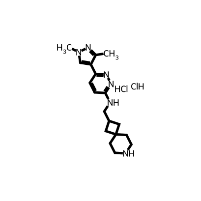 Cc1nn(C)cc1-c1ccc(NCC2CC3(CCNCC3)C2)nn1.Cl.Cl